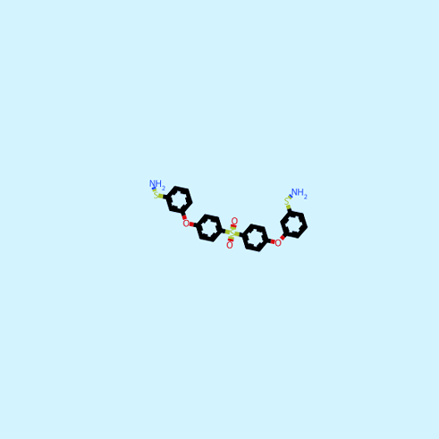 NSc1cccc(Oc2ccc(S(=O)(=O)c3ccc(Oc4cccc(SN)c4)cc3)cc2)c1